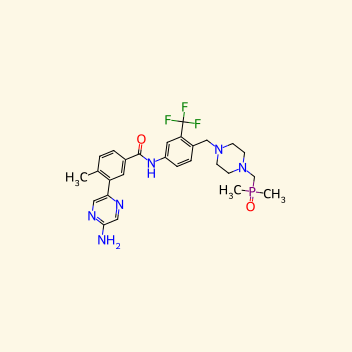 Cc1ccc(C(=O)Nc2ccc(CN3CCN(CP(C)(C)=O)CC3)c(C(F)(F)F)c2)cc1-c1cnc(N)cn1